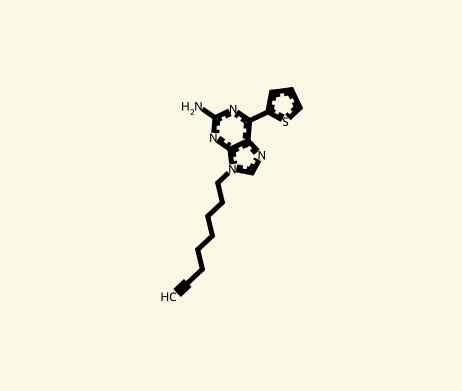 C#CCCCCCCn1cnc2c(-c3cccs3)nc(N)nc21